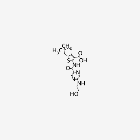 CC1(C)CCc2c(sc(NC(=O)c3cnc(NCCO)cn3)c2C(=O)O)C1